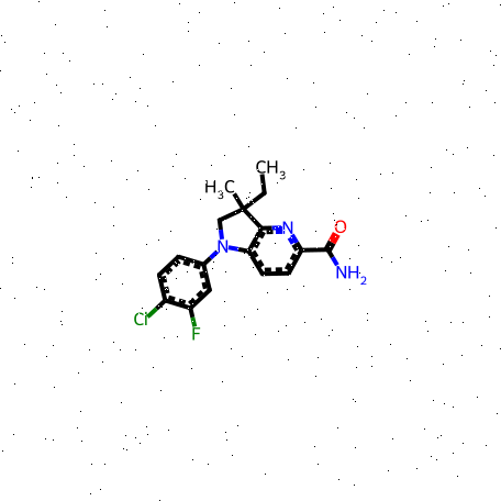 CCC1(C)CN(c2ccc(Cl)c(F)c2)c2ccc(C(N)=O)nc21